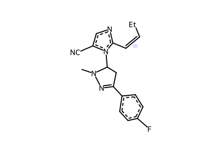 CC/C=C\c1ncc(C#N)n1C1CC(c2ccc(F)cc2)=NN1C